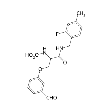 Cc1ccc(CNC(=O)C(COc2cccc(C=O)c2)NC(=O)O)c(F)c1